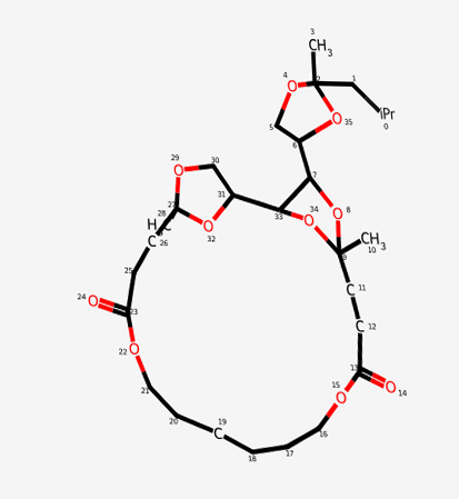 CC(C)CC1(C)OCC(C2OC3(C)CCC(=O)OCCCCCCOC(=O)CCC4(C)OCC(O4)C2O3)O1